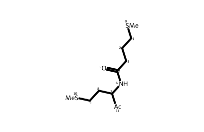 CSCCCC(=O)NC(CCSC)C(C)=O